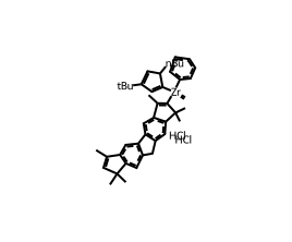 Cl.Cl.[CH2]=[Zr]([C]1=CC(C(C)(C)C)=CC1CCCC)([C]1=C(C)c2cc3c(cc2C1(C)C)Cc1cc2c(cc1-3)C(C)=CC2(C)C)[c]1ccccc1